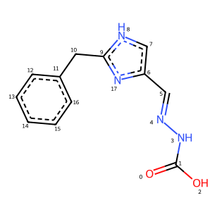 O=C(O)NN=Cc1c[nH]c(Cc2ccccc2)n1